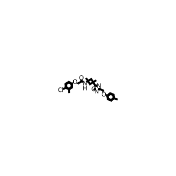 Cc1ccc(OCc2noc(C3(C)CC(C)(NC(=O)COc4ccc(Cl)c(C)c4)C3)n2)cc1